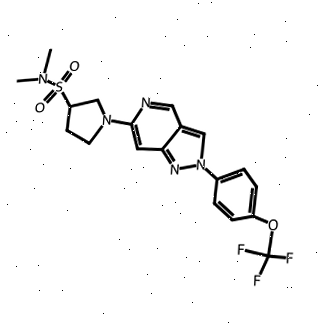 CN(C)S(=O)(=O)C1CCN(c2cc3nn(-c4ccc(OC(F)(F)F)cc4)cc3cn2)C1